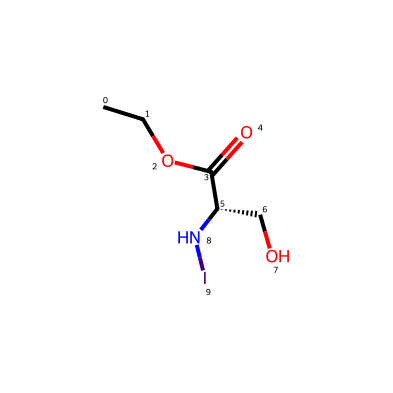 CCOC(=O)[C@H](CO)NI